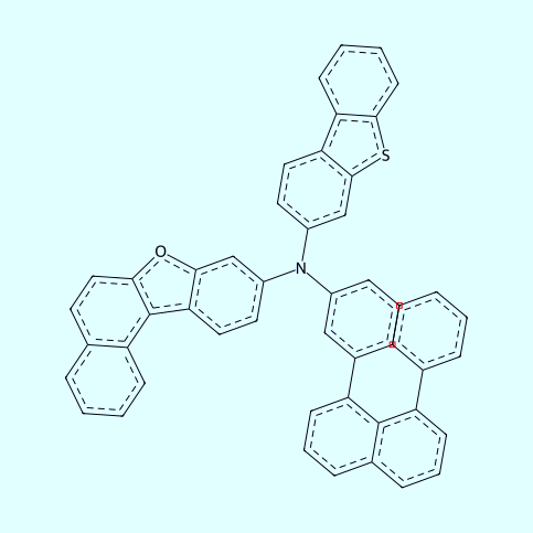 c1ccc(-c2cccc3cccc(-c4cccc(N(c5ccc6c(c5)oc5ccc7ccccc7c56)c5ccc6c(c5)sc5ccccc56)c4)c23)cc1